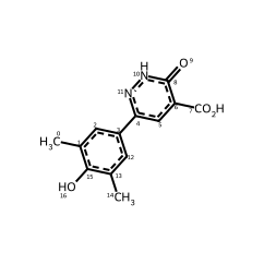 Cc1cc(-c2cc(C(=O)O)c(=O)[nH]n2)cc(C)c1O